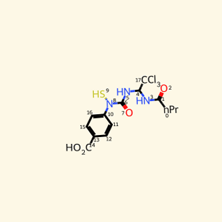 CCCC(=O)NC(NC(=O)N(S)c1ccc(C(=O)O)cc1)C(Cl)(Cl)Cl